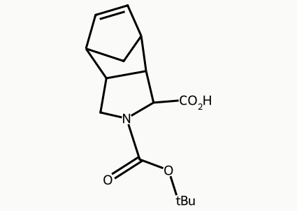 CC(C)(C)OC(=O)N1CC2C3C=CC(C3)C2C1C(=O)O